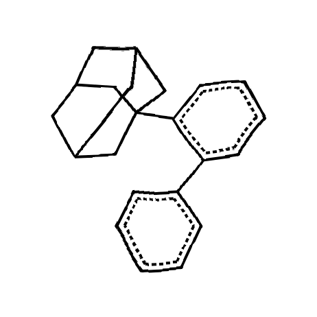 c1ccc(-c2ccccc2C23CC4CC(CC(C4)C2)C3)cc1